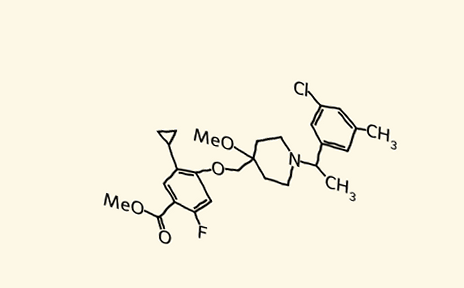 COC(=O)c1cc(C2CC2)c(OCC2(OC)CCN(C(C)c3cc(C)cc(Cl)c3)CC2)cc1F